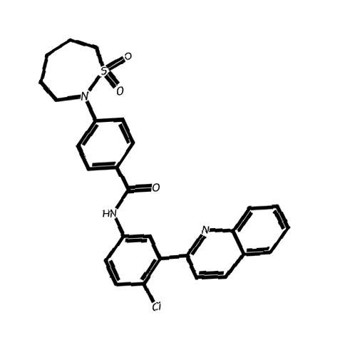 O=C(Nc1ccc(Cl)c(-c2ccc3ccccc3n2)c1)c1ccc(N2CCCCCS2(=O)=O)cc1